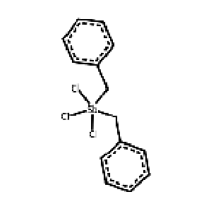 [Cl][Sb]([Cl])([Cl])([CH2]c1ccccc1)[CH2]c1ccccc1